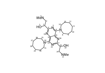 CNCC(O)c1nc(N2CCCCCCC2)c2nc(C(O)CNC)nc(N3CCCCCCC3)c2n1